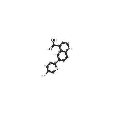 O=C(O)c1ccnc2ccc(-c3ccc(F)cn3)cc12